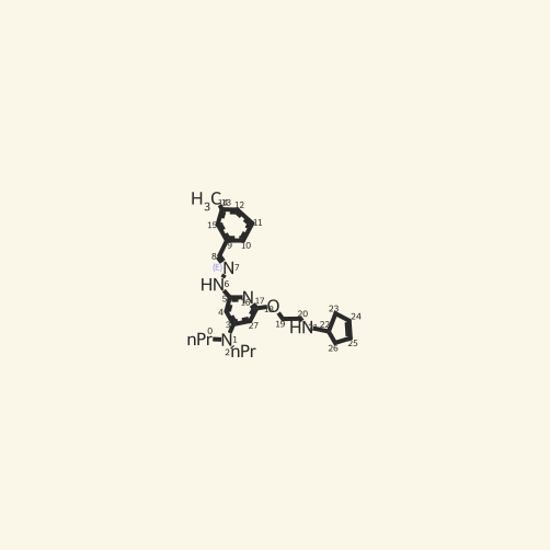 CCCN(CCC)c1cc(N/N=C/c2cccc(C)c2)nc(OCCNC2CC=CC2)c1